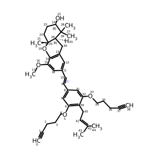 C#CCCCOc1cc(/C=C/c2cc3c(c(OC)c2)O[C@]2(C)CC[C@@H](O)C(C)(C)[C@H]2C3)cc(OCCCC#C)c1CC=C(C)C